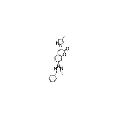 Cc1cnn(-c2cc3ccc(-n4nc(C)c(-c5ccccc5)n4)cc3oc2=O)c1